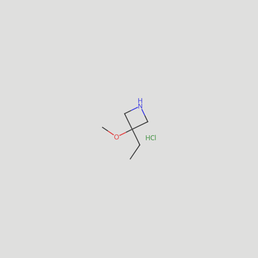 CCC1(OC)CNC1.Cl